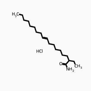 CCCCCCCCC=CCCCCCCC(CC)C(N)=O.Cl